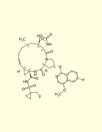 COc1cnc(O[C@@H]2C[C@H]3C(=O)N[C@]4(C(=O)NS(=O)(=O)C5(CF)CC5)C[C@H]4C=CCC[C@H](C)C[C@@H](C)[C@H](NC(=O)O)C(=O)N3C2)c2ccc(F)cc12